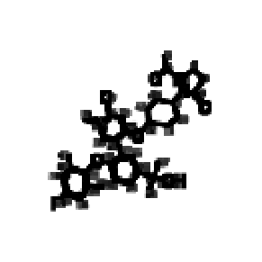 CC(=O)N1CCC(=O)N1C1CCC(Oc2cc(=O)n(C)cc2-c2cc(C(C)(C)O)ccc2Oc2c(C)cc(F)cc2C)CC1